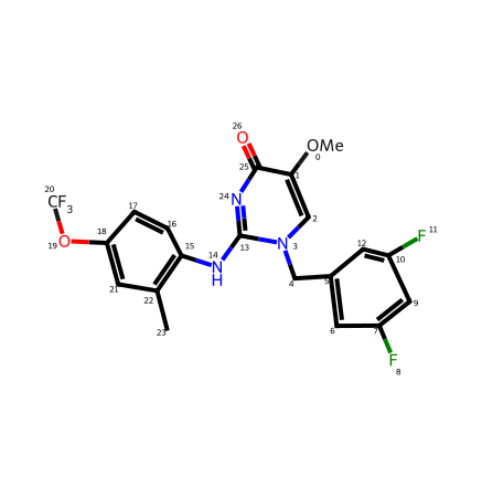 COc1cn(Cc2cc(F)cc(F)c2)c(Nc2ccc(OC(F)(F)F)cc2C)nc1=O